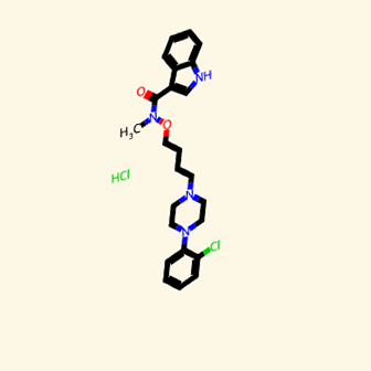 CN(OCCCCN1CCN(c2ccccc2Cl)CC1)C(=O)c1c[nH]c2ccccc12.Cl